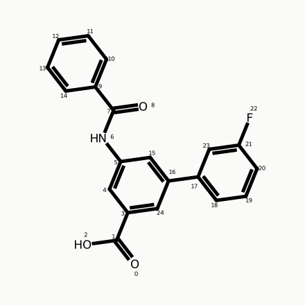 O=C(O)c1cc(NC(=O)c2ccccc2)cc(-c2cccc(F)c2)c1